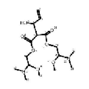 C=CC(O)C(C(=O)OCC(OC)N(C)C)C(=O)OCC(OC)N(C)C